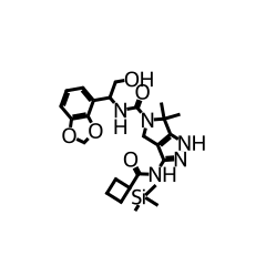 CC1(C)c2[nH]nc(NC(=O)C3([Si](C)(C)C)CCC3)c2CN1C(=O)NC(CO)c1cccc2c1OCO2